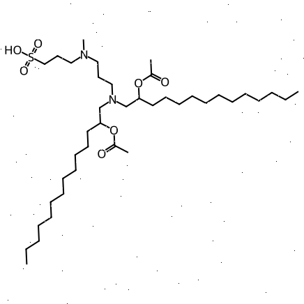 CCCCCCCCCCCCC(CN(CCCN(C)CCCS(=O)(=O)O)CC(CCCCCCCCCCCC)OC(C)=O)OC(C)=O